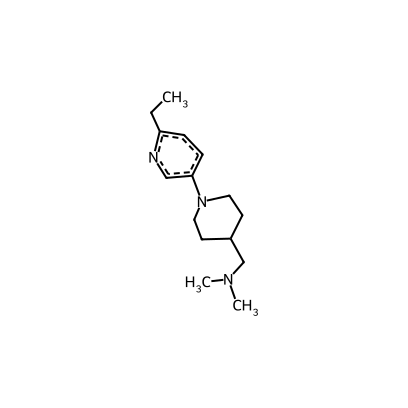 CCc1ccc(N2CCC(CN(C)C)CC2)cn1